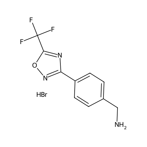 Br.NCc1ccc(-c2noc(C(F)(F)F)n2)cc1